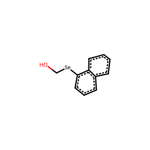 OC[Se]c1cccc2ccccc12